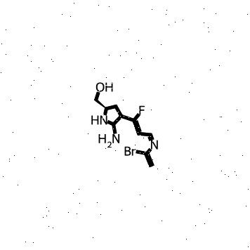 C=C(Br)/N=C\C=C(/F)C1C[C@H](CO)NC1N